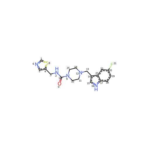 O=C(NCc1cncs1)N1CCN(Cc2c[nH]c3ccc(F)cc23)CC1